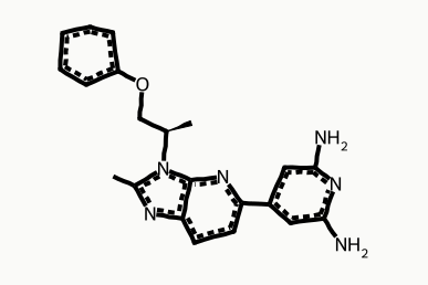 Cc1nc2ccc(-c3cc(N)nc(N)c3)nc2n1[C@H](C)COc1ccccc1